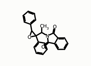 CC(N1C(=O)c2ccccc2C1=O)C1(c2ccccc2)OC1c1ccccc1